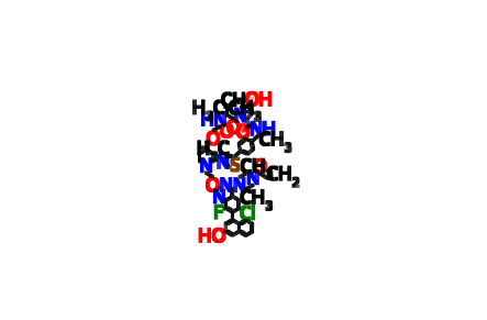 C=CC(=O)N1C[C@H](C)N(c2nc(OCCN3CCC(COCC(=O)N[C@H](C(=O)N4C[C@H](O)C[C@H]4C(=O)N[C@@H](C)c4ccc(-c5scnc5C)cc4)C(C)(C)C)CC3)nc3c(F)c(-c4cc(O)cc5ccccc45)c(Cl)cc23)C[C@H]1C